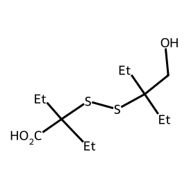 CCC(CC)(CO)SSC(CC)(CC)C(=O)O